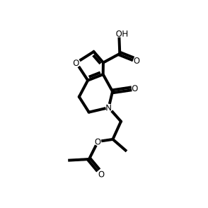 CC(=O)OC(C)CN1CCc2occ(C(=O)O)c2C1=O